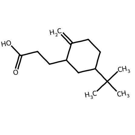 C=C1CCC(C(C)(C)C)CC1CCC(=O)O